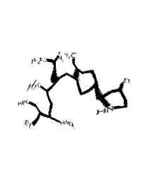 C=C(C)C(C(C)CC(CCCCCC)C(CC)CCC)C1CC(C2NCC2CC)CC1C